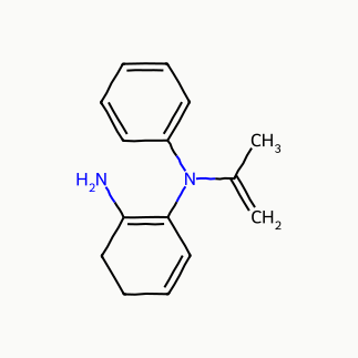 C=C(C)N(C1=C(N)CCC=C1)c1ccccc1